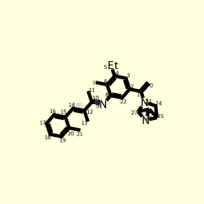 C=C(c1cc(CC)c(C)c(/N=C(C)/C(C)=C/c2ccccc2C)c1)N1CC2C3C1N23